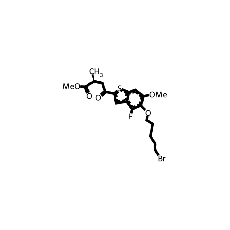 COC(=O)[C@@H](C)CC(=O)c1cc2c(F)c(OCCCCCBr)c(OC)cc2s1